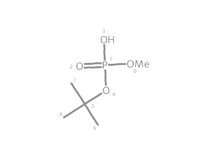 COP(=O)(O)OC(C)(C)C